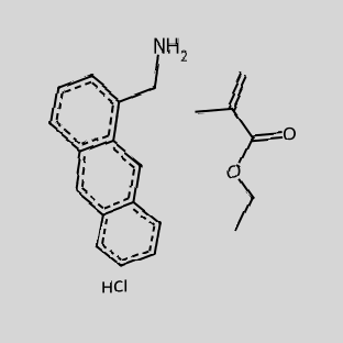 C=C(C)C(=O)OCC.Cl.NCc1cccc2cc3ccccc3cc12